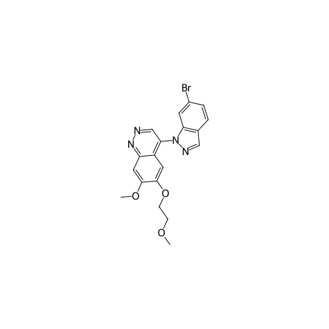 COCCOc1cc2c(-n3ncc4ccc(Br)cc43)cnnc2cc1OC